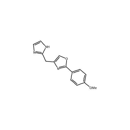 COc1ccc(-c2nc(Cc3ncc[nH]3)co2)cc1